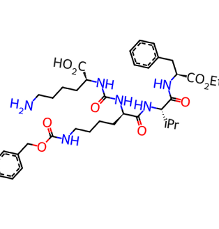 CCOC(=O)[C@H](Cc1ccccc1)NC(=O)[C@@H](NC(=O)[C@@H](CCCCNC(=O)OCc1ccccc1)NC(=O)N[C@@H](CCCCN)C(=O)O)C(C)C